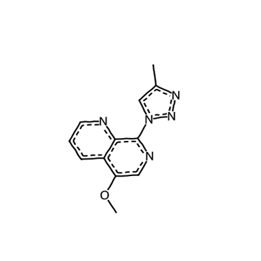 COc1cnc(-n2cc(C)nn2)c2ncccc12